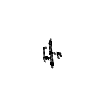 CCCC.[O]=[Zr]=[O].[Pt]